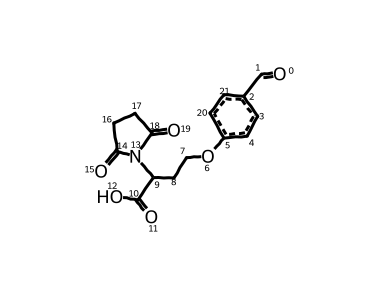 O=Cc1ccc(OCCC(C(=O)O)N2C(=O)CCC2=O)cc1